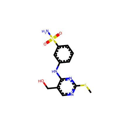 CSc1ncc(CO)c(Nc2cccc(S(N)(=O)=O)c2)n1